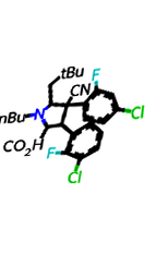 CCCCN1C(C(=O)O)C(c2cccc(Cl)c2F)C(C#N)(c2ccc(Cl)cc2F)C1CC(C)(C)C